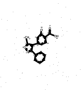 Cc1onc(-c2ccccc2)c1-c1ccc(C(=O)O)c(Cl)c1